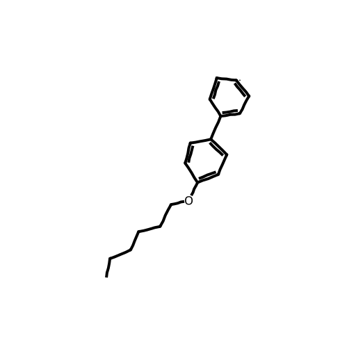 CCCCCCOc1ccc(-c2cc[c]cc2)cc1